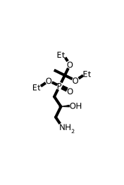 CCOC(C)(OCC)P(=O)(C[C@@H](O)CN)OCC